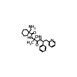 CC(C)(NC(=O)C1(CN)CCCCC1)C(=O)NC(Cc1ccccn1)c1ccccc1